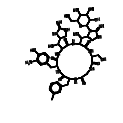 Cc1cccc(CC2NC(=O)CNC(=O)C(CO)NC(=O)C(C(O)C3CNC(=N)N3C3OC(CO)C(O)C(O)C3O)NC(=O)C(C(O)C3CNC(=N)N3)NC(=O)C(Cc3ccc(O)c(N)c3)NC2=O)c1